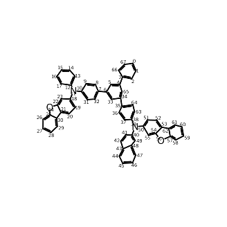 c1ccc(-c2cc(-c3ccc(N(c4ccccc4)c4ccc5c(c4)oc4ccccc45)cc3)cc(-c3ccc(N(c4ccc5ccccc5c4)c4ccc5c(c4)oc4ccccc45)cc3)c2)cc1